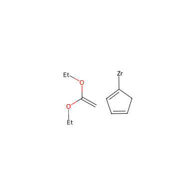 C=C(OCC)OCC.[Zr][C]1=CC=CC1